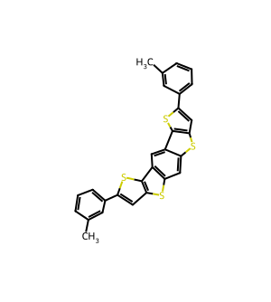 Cc1cccc(-c2cc3sc4cc5sc6cc(-c7cccc(C)c7)sc6c5cc4c3s2)c1